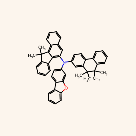 CC1(C)c2ccccc2-c2c(N(c3ccc4c(c3)C(C)(C)C(C)(C)c3ccccc3-4)c3ccc4c(c3)oc3ccccc34)cc3ccccc3c21